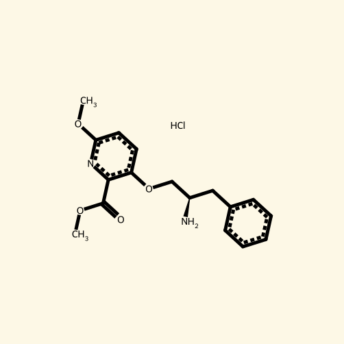 COC(=O)c1nc(OC)ccc1OC[C@H](N)Cc1ccccc1.Cl